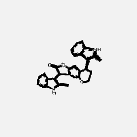 C=C1Nc2ccccc2C1C1C(=O)Oc2cc3c(cc21)OCC/C3=c1\c(=C)[nH]c2ccccc12